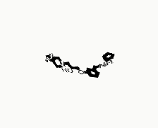 Cn1cnc2c1CCN(C[C@H](O)COc1cccc(CNC3CCCC3)c1)C2